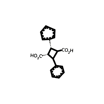 O=C(O)C1C(c2ccccc2)[C@H](C(=O)O)[C@@H]1c1ccccc1